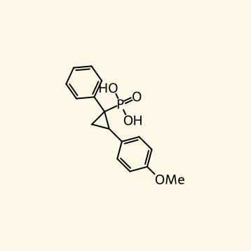 COc1ccc(C2CC2(c2ccccc2)P(=O)(O)O)cc1